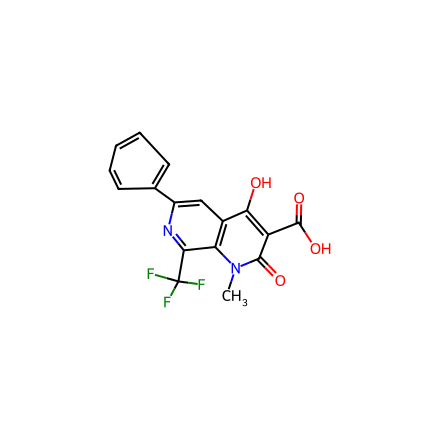 Cn1c(=O)c(C(=O)O)c(O)c2cc(-c3ccccc3)nc(C(F)(F)F)c21